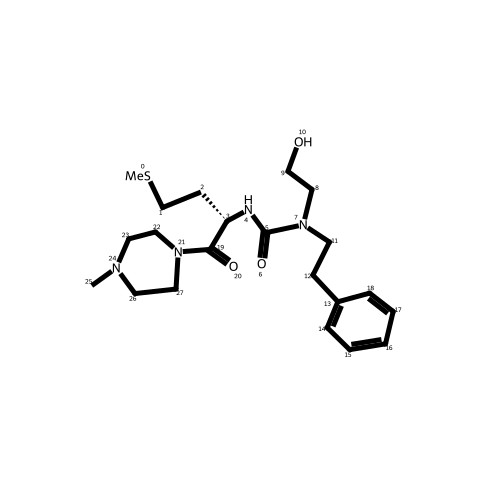 CSCC[C@H](NC(=O)N(CCO)CCc1ccccc1)C(=O)N1CCN(C)CC1